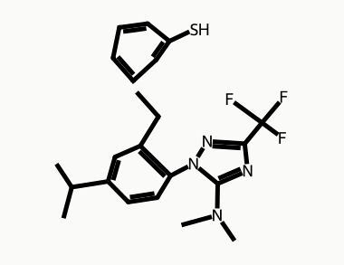 CCc1cc(C(C)C)ccc1-n1nc(C(F)(F)F)nc1N(C)C.Sc1ccccc1